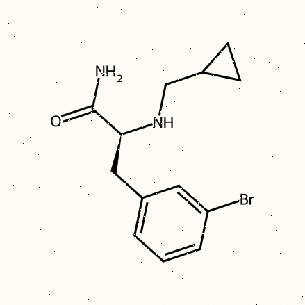 NC(=O)[C@H](Cc1cccc(Br)c1)NCC1CC1